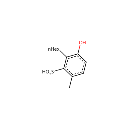 CCCCCCc1c(O)ccc(C)c1S(=O)(=O)O